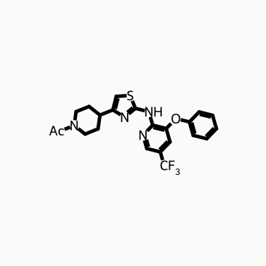 CC(=O)N1CCC(c2csc(Nc3ncc(C(F)(F)F)cc3Oc3ccccc3)n2)CC1